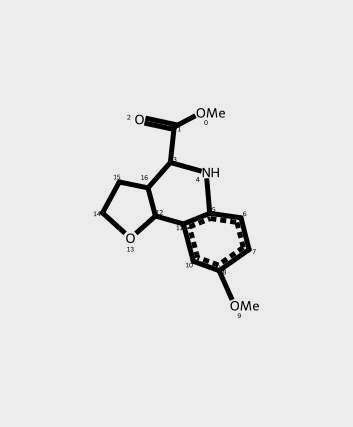 COC(=O)C1Nc2ccc(OC)cc2C2OCCC12